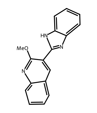 COc1nc2ccccc2cc1-c1nc2ccccc2[nH]1